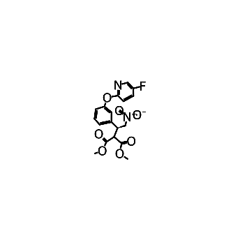 COC(=O)C(C(=O)OC)[C@H](C[N+](=O)[O-])c1cccc(Oc2ccc(F)cn2)c1